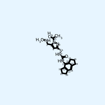 CNCc1cc(SNC(=O)Nc2c3c(cc4c2CCC4)CCC3)nn1C(C)C